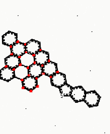 c1ccc(-c2ccccc2-c2cccc(N(c3ccccc3-c3ccccc3)c3ccccc3-c3ccccc3N(c3ccc(-c4ccc5c(c4)sc4cc6ccccc6cc45)cc3)c3ccccc3-c3ccccc3)c2)cc1